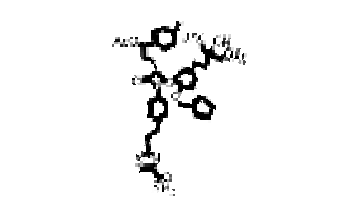 CC(=O)OCC(O)(CCc1ccc(OCc2ccccc2)c([C@@H]2[C@@H](CCC(OC(C)=O)c3ccc(F)cc3)C(=O)N2c2ccc(CCc3nc(C(N)=O)cs3)cc2)c1)COC(C)=O